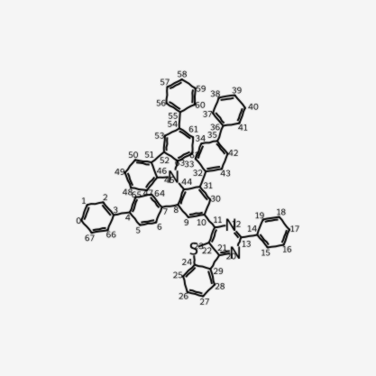 c1ccc(-c2ccc(-c3cc(-c4nc(-c5ccccc5)nc5c4sc4ccccc45)cc(-c4ccc(-c5ccccc5)cc4)c3-n3c4ccccc4c4cc(-c5ccccc5)ccc43)cc2)cc1